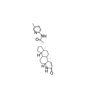 Cc1ccc(NC(=O)C[C@H]2CC[C@H]3C4CC[C@H]5NC(=O)C=C[C@]5(C)C4CC[C@]23C)nc1